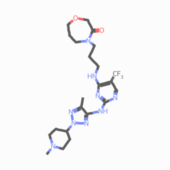 Cc1nn(C2CCN(C)CC2)nc1Nc1ncc(C(F)(F)F)c(NCCCN2CCCOCC2=O)n1